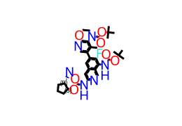 Cc1c(-c2cc3cc(NC(=O)O[C@H]4CCC[C@@H]4C#N)ncc3c(NC(=O)OC(C)(C)C)c2F)cnc2c1N(C(=O)OC(C)(C)C)CCO2